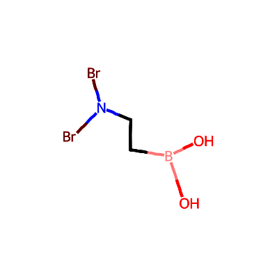 OB(O)CCN(Br)Br